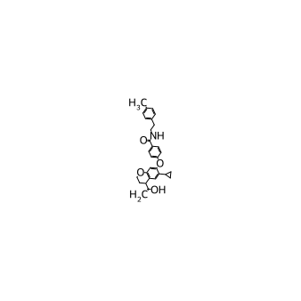 C=C(O)C1CCOc2cc(Oc3ccc(C(=O)NCCc4ccc(C)cc4)cc3)c(C3CC3)cc21